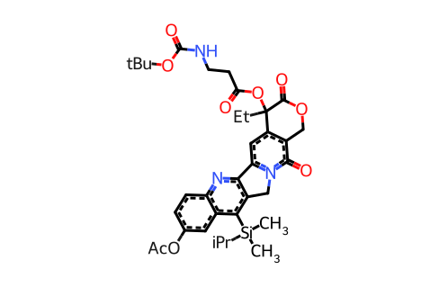 CCC1(OC(=O)CCNC(=O)OC(C)(C)C)C(=O)OCc2c1cc1n(c2=O)Cc2c-1nc1ccc(OC(C)=O)cc1c2[Si](C)(C)C(C)C